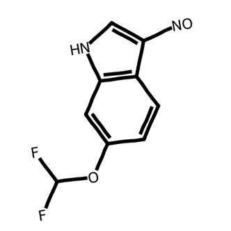 O=Nc1c[nH]c2cc(OC(F)F)ccc12